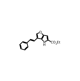 CCOC(=O)c1cc2occ(/C=C/c3ccccc3)c2[nH]1